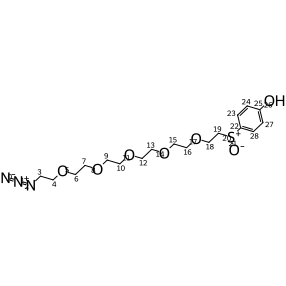 [N-]=[N+]=NCCOCCOCCOCCOCCOCC[S+]([O-])c1ccc(O)cc1